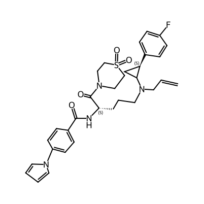 C=CCN(CCC[C@H](NC(=O)c1ccc(-n2cccc2)cc1)C(=O)N1CCS(=O)(=O)CC1)C1C[C@H]1c1ccc(F)cc1